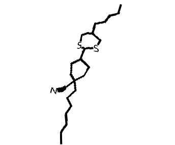 CCCCCCCC1(C#N)CCC(C2SCC(CCCCC)CS2)CC1